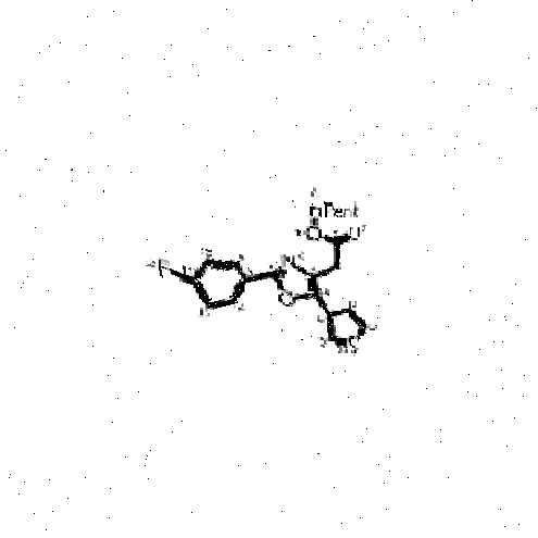 CCCCCOC(=O)Cc1nc(-c2ccc(F)cc2)oc1-c1ccsc1